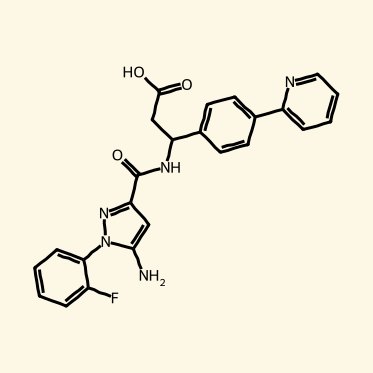 Nc1cc(C(=O)NC(CC(=O)O)c2ccc(-c3ccccn3)cc2)nn1-c1ccccc1F